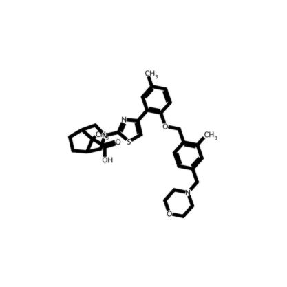 Cc1ccc(OCc2ccc(CN3CCOCC3)cc2C)c(-c2csc(N3CC4CCC(C3)C4(C)C(=O)O)n2)c1